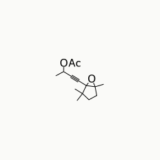 CC(=O)OC(C)C#CC12OC1(C)CCC2(C)C